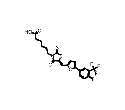 O=C(O)CCCCCN1C(=O)C(=Cc2ccc(-c3ccc(F)c(C(F)(F)F)c3)o2)SC1=S